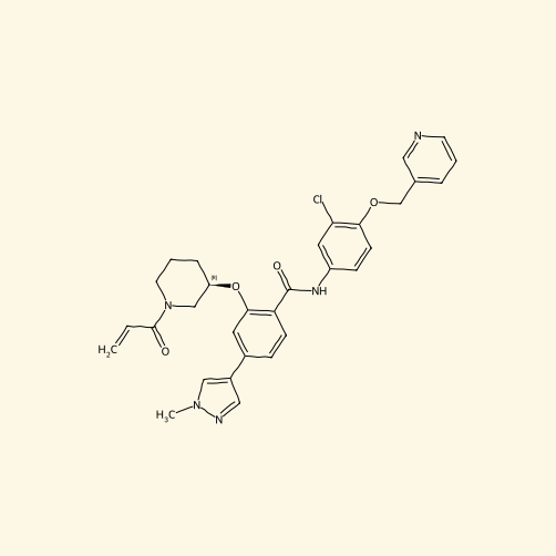 C=CC(=O)N1CCC[C@@H](Oc2cc(-c3cnn(C)c3)ccc2C(=O)Nc2ccc(OCc3cccnc3)c(Cl)c2)C1